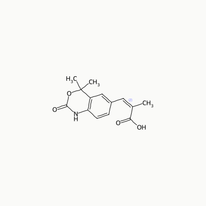 C/C(=C/c1ccc2c(c1)C(C)(C)OC(=O)N2)C(=O)O